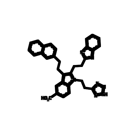 O=C(O)c1ccc2c(c1)c(CCc1ccc3ccccc3c1)c(CCc1nc3ccccc3s1)n2CCc1nn[nH]n1